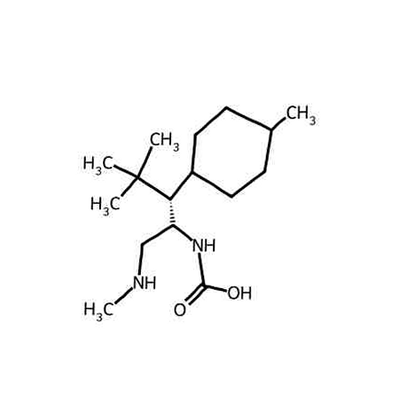 CNCC(NC(=O)O)[C@@H](C1CCC(C)CC1)C(C)(C)C